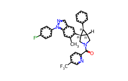 Cc1cc2c(cnn2-c2ccc(F)cc2)cc1[C@]12CN(C(=O)c3ccc(C(F)(F)F)cn3)C[C@H]1[C@@H]2c1ccccc1